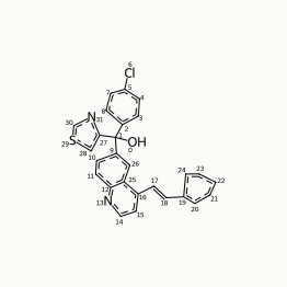 OC(c1ccc(Cl)cc1)(c1ccc2nccc(C=Cc3ccccc3)c2c1)c1cscn1